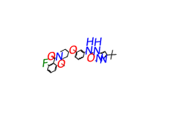 COc1cccc(F)c1C(=O)N1CCC(Oc2cccc(NC(=O)Nc3cc(C(C)(C)C)nn3C)c2)CC1